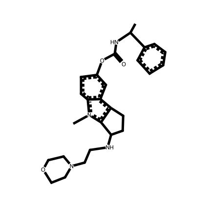 CC(NC(=O)Oc1ccc2c(c1)c1c(n2C)C(NCCN2CCOCC2)CC1)c1ccccc1